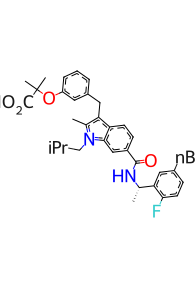 CCCCc1ccc(F)c([C@H](C)NC(=O)c2ccc3c(Cc4cccc(OC(C)(C)C(=O)O)c4)c(C)n(CC(C)C)c3c2)c1